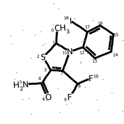 CC1SC(C(N)=O)=C(C(F)F)N1c1ccccc1I